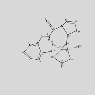 O=C(NCc1ncccc1F)N1C=CSC1C1[C@H]2CNC[C@@H]12